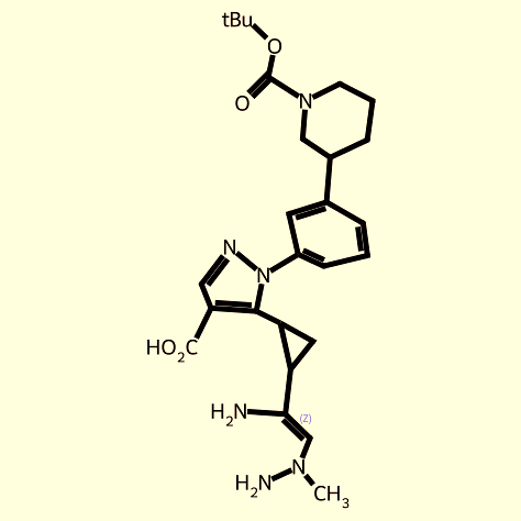 CN(N)/C=C(\N)C1CC1c1c(C(=O)O)cnn1-c1cccc(C2CCCN(C(=O)OC(C)(C)C)C2)c1